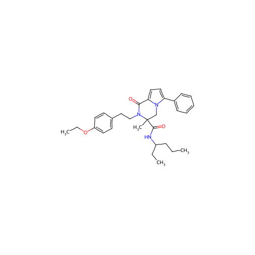 CCCC(CC)NC(=O)C1(C)Cn2c(ccc2-c2ccccc2)C(=O)N1CCc1ccc(OCC)cc1